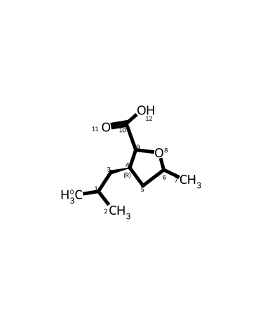 CC(C)C[C@@H]1CC(C)OC1C(=O)O